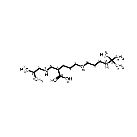 CC(C)CNCC(CCCOCCCNC(C)(C)C)C(=O)O